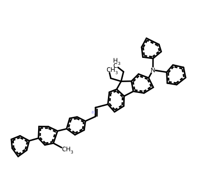 CCC1(CC)c2cc(/C=C/c3ccc(-c4ccc(-c5ccccc5)cc4C)cc3)ccc2-c2ccc(N(c3ccccc3)c3ccccc3)cc21